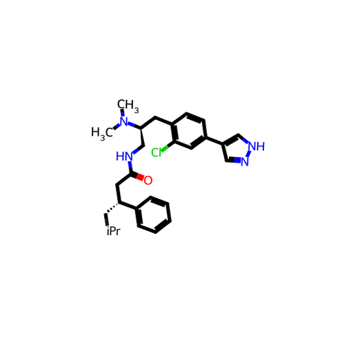 CC(C)C[C@H](CC(=O)NC[C@H](Cc1ccc(-c2cn[nH]c2)cc1Cl)N(C)C)c1ccccc1